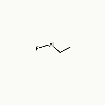 C[CH2][Al][F]